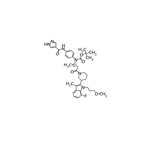 COCCCn1c(C2CCCN(C(=O)C[C@@H](C)N(C(=O)OC(C)(C)C)c3ccc(NC(=O)c4cn[nH]c4)cc3)C2)c(C)c2cccc(F)c21